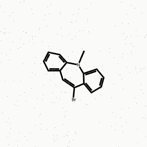 CN1c2ccccc2C=C(Br)c2ccccc21